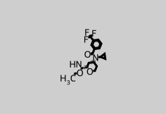 CCOC(=N)[C@H]1C[C@@H](N(C(=O)c2cccc(C(F)(F)F)c2)C2CC2)CCO1